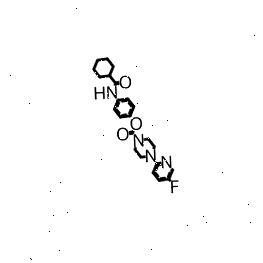 O=C(Nc1ccc(OC(=O)N2CCN(c3ccc(F)cn3)CC2)cc1)C1CCCCC1